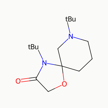 CC(C)(C)N1CCCC2(C1)OCC(=O)N2C(C)(C)C